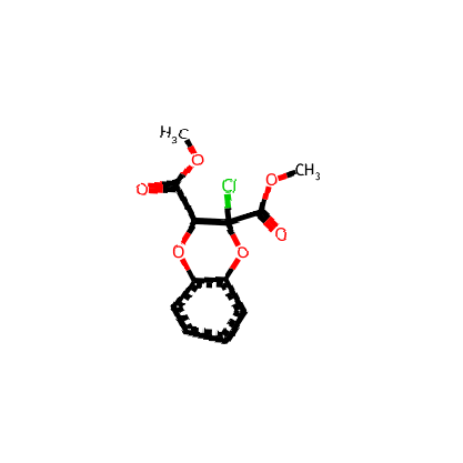 COC(=O)C1Oc2ccccc2OC1(Cl)C(=O)OC